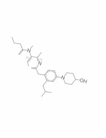 C=C(Cc1ccc(N2CCC(O)CC2)cc1CC(C)C)/N=C(C)\C(=C/C)N(C)C(=C)CCC